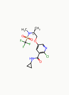 C[C@@H](COc1cnc(Cl)c(C(=O)NC2CC2)c1)N(C)S(=O)(=O)C(F)(F)F